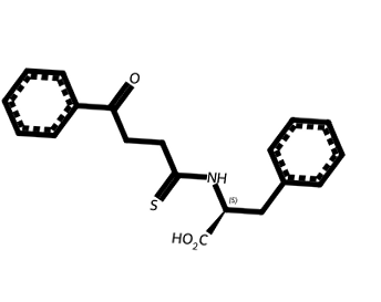 O=C(CCC(=S)N[C@@H](Cc1ccccc1)C(=O)O)c1ccccc1